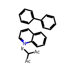 CC(=O)[CH]([Ir])C(C)=O.c1ccc(-c2ccccc2)cc1.c1ccc2ncccc2c1